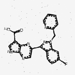 O=C(O)c1c[nH]c2ncc(-c3nn(Cc4ccccn4)c4cc(F)ccc34)nc12